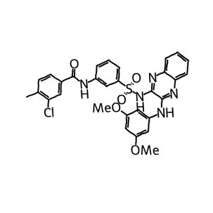 COc1cc(Nc2nc3ccccc3nc2NS(=O)(=O)c2cccc(NC(=O)c3ccc(C)c(Cl)c3)c2)cc(OC)c1